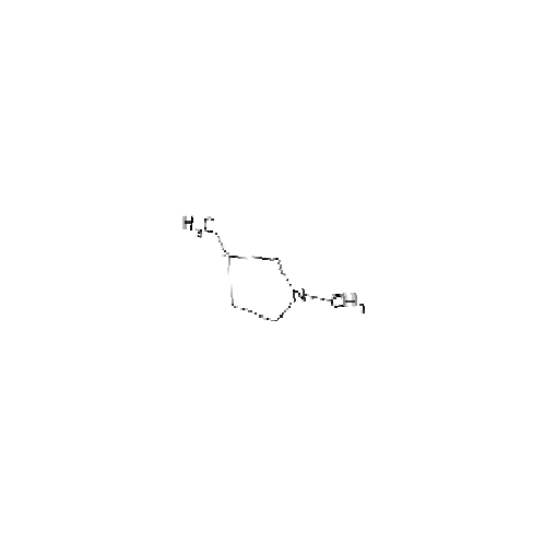 C[C]1CCN(C)C1